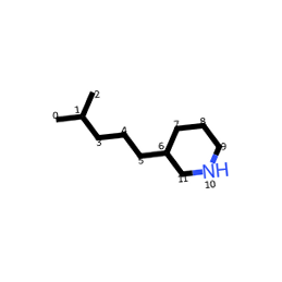 CC(C)CCCC1CCCNC1